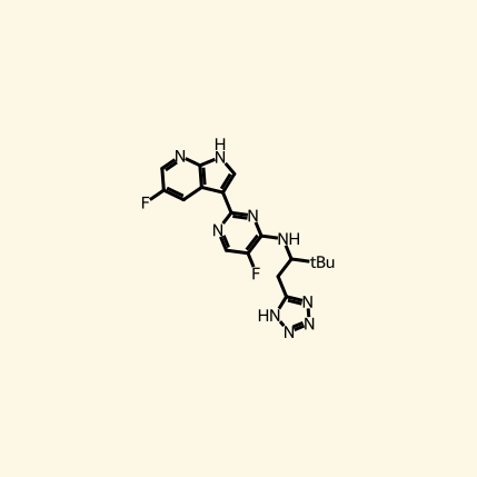 CC(C)(C)C(Cc1nnn[nH]1)Nc1nc(-c2c[nH]c3ncc(F)cc23)ncc1F